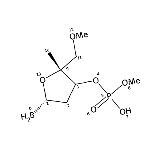 B[C@H]1CC(OP(=O)(O)OC)[C@@](C)(COC)O1